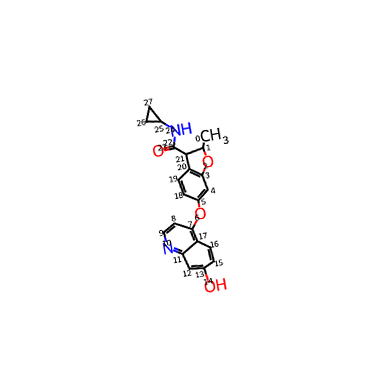 CC1Oc2cc(Oc3ccnc4cc(O)ccc34)ccc2C1C(=O)NC1CC1